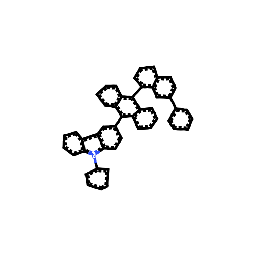 c1ccc(-c2ccc3cccc(-c4c5ccccc5c(-c5ccc6c(c5)c5ccccc5n6-c5ccccc5)c5ccccc45)c3c2)cc1